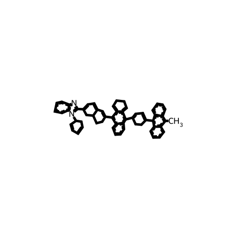 Cc1c2ccccc2c(C2=CC=C(c3c4c(c(C5=CC6=CC=C(c7nc8ccccc8n7C7C=CC=CC7)CC6CC5)c5ccccc35)=CCCC=4)CC2)c2ccccc12